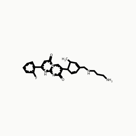 CC1C=C(CNCCCN)C=CC1c1cn2c(=O)cc(-c3ccccc3F)[nH]c2nc1=O